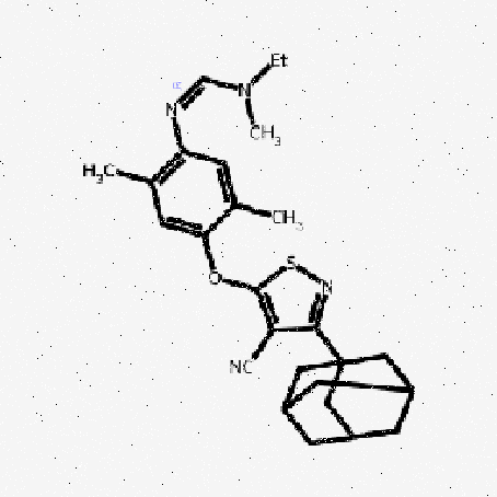 CCN(C)/C=N\c1cc(C)c(Oc2snc(C34CC5CC(CC(C5)C3)C4)c2C#N)cc1C